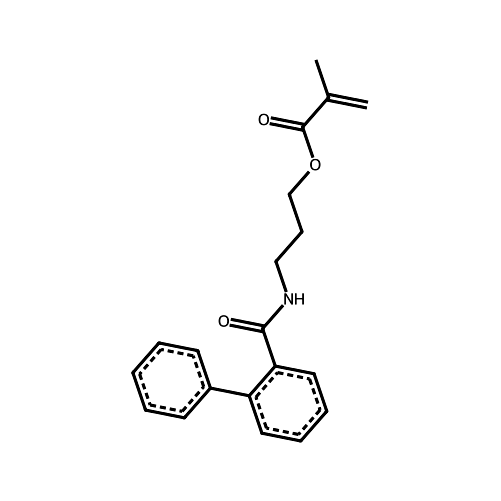 C=C(C)C(=O)OCCCNC(=O)c1ccccc1-c1ccccc1